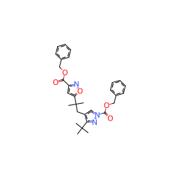 CC(C)(C)c1nn(C(=O)OCc2ccccc2)cc1CC(C)(C)c1cc(C(=O)OCc2ccccc2)no1